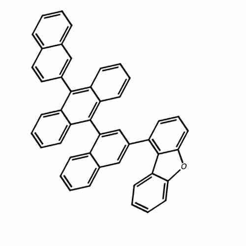 c1ccc2cc(-c3c4ccccc4c(-c4cc(-c5cccc6oc7ccccc7c56)cc5ccccc45)c4ccccc34)ccc2c1